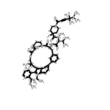 CCn1c(-c2cccnc2[C@H](C)OC)c2c3cc(ccc31)-c1cccc(c1)C[C@H](NC(=O)[C@H](C(C)C)N(C)C(=O)C1(F)CCN(C(=O)C#CC(C)(C)N(C)C)CC1)C(=O)N1CCC[C@H](N1)C(=O)OCC(C)(C)C2